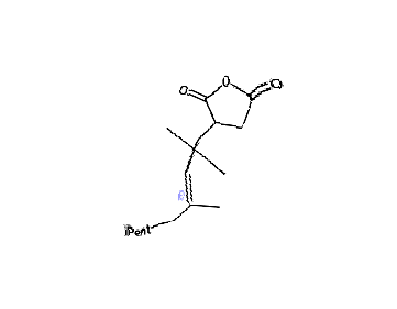 CCCC(C)C/C(C)=C/C(C)(C)C1CC(=O)OC1=O